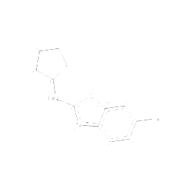 Brc1ccc2nc(NC3CCCC3)sc2c1